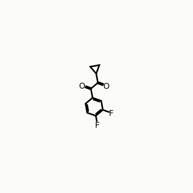 O=C(C(=O)C1CC1)c1ccc(F)c(F)c1